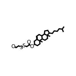 CC(C)CCCCC1CCC2C3CC=C4CC(OC(=O)CSSCC=O)CCC4(C)C3CCC12C